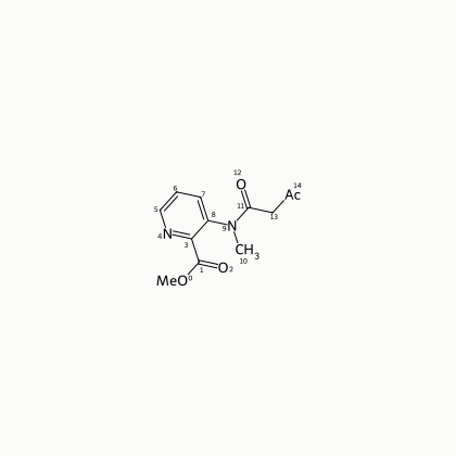 COC(=O)c1ncccc1N(C)C(=O)CC(C)=O